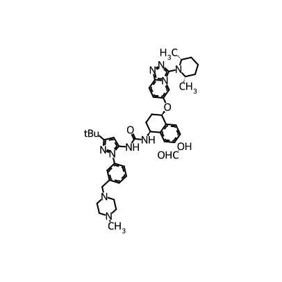 C[C@@H]1CCC[C@H](C)N1c1nnc2ccc(O[C@@H]3CC[C@H](NC(=O)Nc4cc(C(C)(C)C)nn4-c4cccc(CN5CCN(C)CC5)c4)c4ccccc43)cn12.O=CO